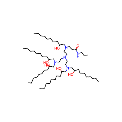 CCCCCCCCC(O)CN(CCC(=O)NCCC)CCN(CCN(CC(O)CCCCCCCC)CC(O)CCCCCCCC)CCN(CC(O)CCCCCCCC)CC(O)CCCCCCCC